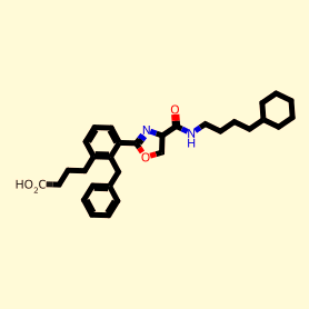 O=C(O)CCCc1cccc(C2=NC(C(=O)NCCCCC3CCCCC3)CO2)c1Cc1ccccc1